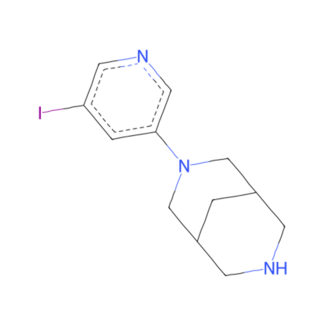 Ic1cncc(N2CC3CNCC(C3)C2)c1